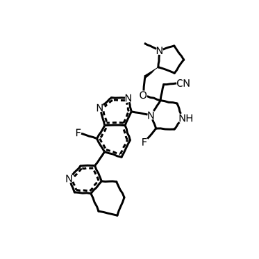 CN1CCC[C@H]1COC1(CC#N)CNCC(F)N1c1ncnc2c(F)c(-c3cncc4c3CCCC4)ccc12